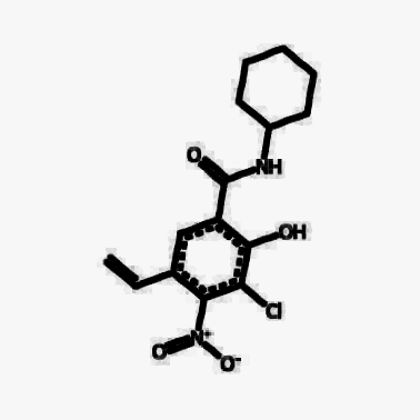 C=Cc1cc(C(=O)NC2CCCCC2)c(O)c(Cl)c1[N+](=O)[O-]